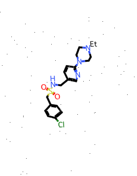 CCN1CCN(c2ccc(CNS(=O)(=O)Cc3ccc(Cl)cc3)cn2)CC1